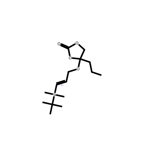 CCCC1(OC/C=C/[Si](C)(C)C(C)(C)C)COC(=O)O1